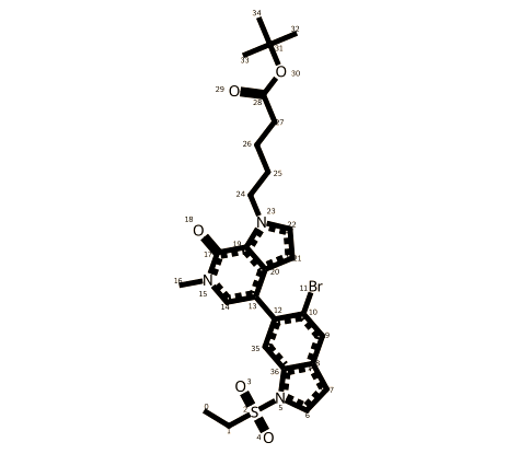 CCS(=O)(=O)n1ccc2cc(Br)c(-c3cn(C)c(=O)c4c3ccn4CCCCC(=O)OC(C)(C)C)cc21